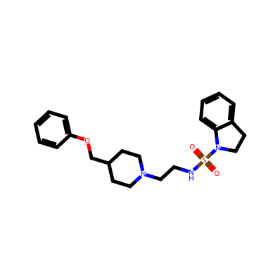 O=S(=O)(NCCN1CCC(COc2ccccc2)CC1)N1CCc2ccccc21